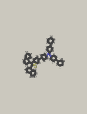 c1ccc(-c2ccc(N(c3ccc(-c4ccccc4)cc3)c3ccc(-c4ccc5c(-c6cccc7ccccc67)c(-c6cccc7ccccc67)sc5c4)cc3)cc2)cc1